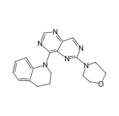 c1ccc2c(c1)CCCN2c1ncnc2cnc(N3CCOCC3)nc12